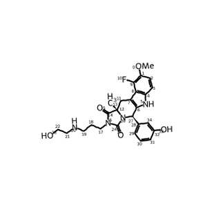 COc1ccc2[nH]c3c(c2c1F)C[C@@]1(C)C(=O)N(CCCNCCO)C(=O)N1[C@@H]3c1cccc(O)c1